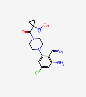 N=Cc1c(N)cc(Cl)cc1N1CCN(C(=O)C2(NO)CC2)CC1